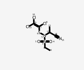 CCS(=O)(=O)N(SC(Cl)=C(Cl)Cl)C(C)C#N